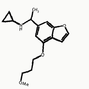 COCCCOc1cc(C(C)NC2CC2)cc2occc12